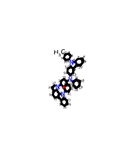 Cc1ccc(-n2c3ccccc3c3cc(N(c4ccccc4)c4ccc(-n5ccc6ccc7c8ccccc8n(-c8ccccc8)c7c65)cc4)ccc32)cc1